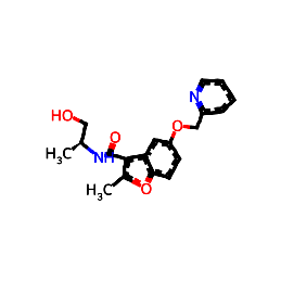 Cc1oc2ccc(OCc3ccccn3)cc2c1C(=O)N[C@@H](C)CO